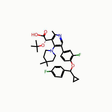 Cc1ncc(-c2ccc(OC(c3ccc(F)cc3)C3CC3)c(F)c2)c(N2CCC(C)(C)CC2)c1[C@H](OC(C)(C)C)C(=O)O